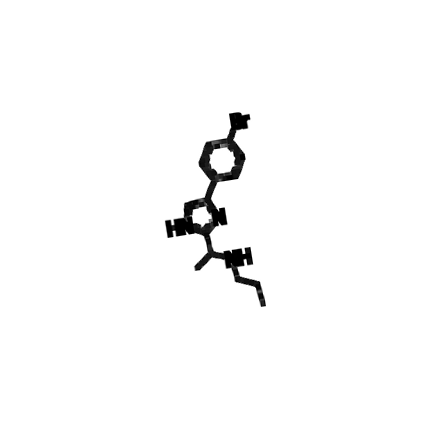 CCCNC(C)c1nc(-c2ccc(Br)cc2)c[nH]1